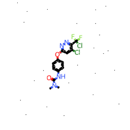 CN(C)C(=O)Nc1ccc(Oc2cc(Cl)c(C(F)(F)Cl)nn2)cc1